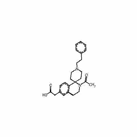 CC(=O)N1CCc2cc(CC(=O)O)ccc2C12CCN(CCc1ccccc1)CC2